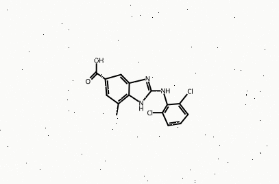 Cc1cc(C(=O)O)cc2nc(Nc3c(Cl)cccc3Cl)[nH]c12